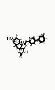 O=C1NCC2(C[C@@H]3C[C@H](O)[C@@H](F)C[C@H]3[C@@H]2C=Cc2ccc(-c3cccc(F)c3)cn2)O1